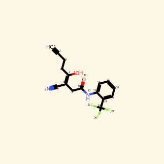 C#CCCC(O)=C(C#N)CC(=O)Nc1ccccc1C(F)(F)F